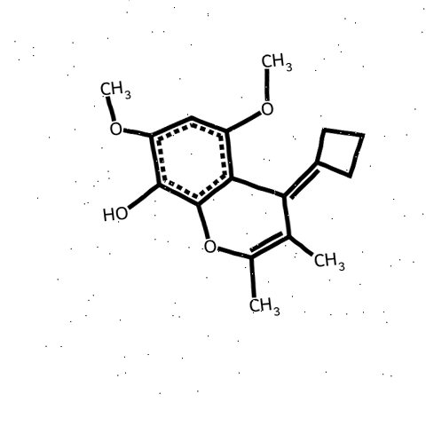 COc1cc(OC)c2c(c1O)OC(C)=C(C)C2=C1CCC1